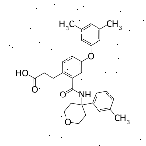 Cc1cc(C)cc(Oc2ccc(CCC(=O)O)c(C(=O)NC3(c4cccc(C)c4)CCOCC3)c2)c1